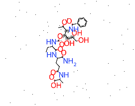 CCC(NC(=O)O[C@@H]([C@H](O)[C@H](O)CO)[C@@H](NC(=O)c1ccccc1)C(C)=O)C(=O)NC(CCC(=O)NC(C)C(=O)O)C(N)=O